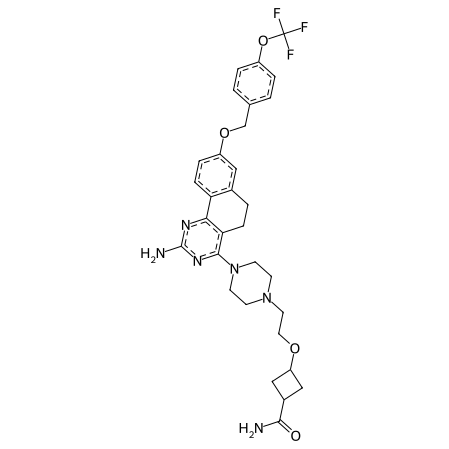 NC(=O)C1CC(OCCN2CCN(c3nc(N)nc4c3CCc3cc(OCc5ccc(OC(F)(F)F)cc5)ccc3-4)CC2)C1